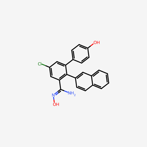 N/C(=N\O)c1cc(Cl)cc(-c2ccc(O)cc2)c1-c1ccc2ccccc2c1